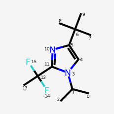 CC(C)n1cc(C(C)(C)C)nc1C(C)(F)F